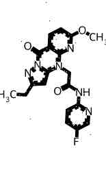 CCc1cc2n(CC(=O)Nc3ccc(F)cn3)c3nc(OC)ccc3c(=O)n2n1